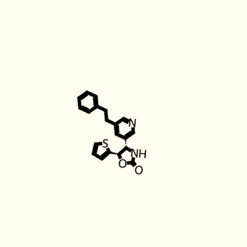 O=C1N[C@@H](c2cncc(CCc3ccccc3)c2)[C@H](c2cccs2)O1